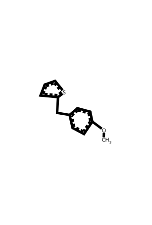 COc1ccc(Cc2cccs2)cc1